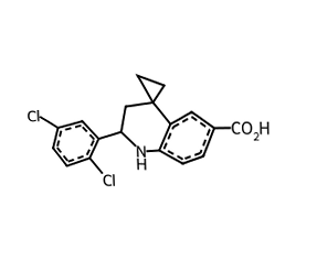 O=C(O)c1ccc2c(c1)C1(CC1)CC(c1cc(Cl)ccc1Cl)N2